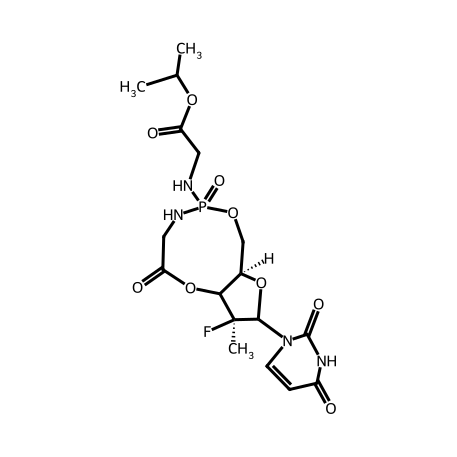 CC(C)OC(=O)CNP1(=O)NCC(=O)OC2[C@@H](CO1)OC(n1ccc(=O)[nH]c1=O)[C@@]2(C)F